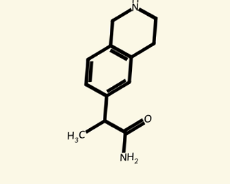 CC(C(N)=O)c1ccc2c(c1)CCNC2